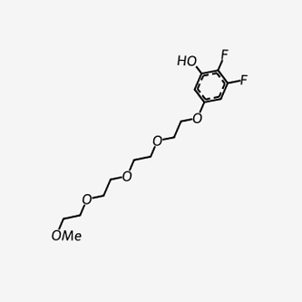 COCCOCCOCCOCCOc1cc(O)c(F)c(F)c1